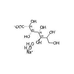 O.O.O=C([O-])[C@H](O)[C@@H](O)[C@H](O)[C@H](O)C(O)CO.[Na+]